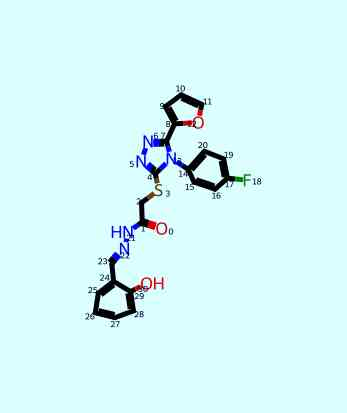 O=C(CSc1nnc(-c2ccco2)n1-c1ccc(F)cc1)NN=Cc1ccccc1O